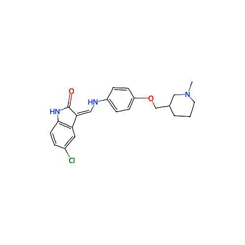 CN1CCCC(COc2ccc(NC=C3C(=O)Nc4ccc(Cl)cc43)cc2)C1